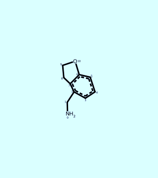 NCc1cc[c]c2c1CCO2